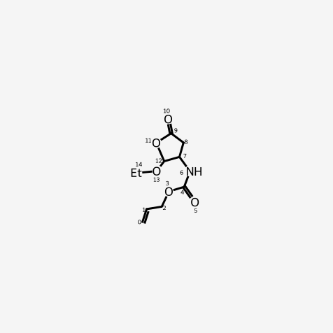 C=CCOC(=O)NC1CC(=O)OC1OCC